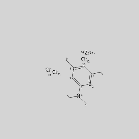 Cc1bc(N(C)C)cc(C)c1.[Cl-].[Cl-].[Cl-].[Zr+3]